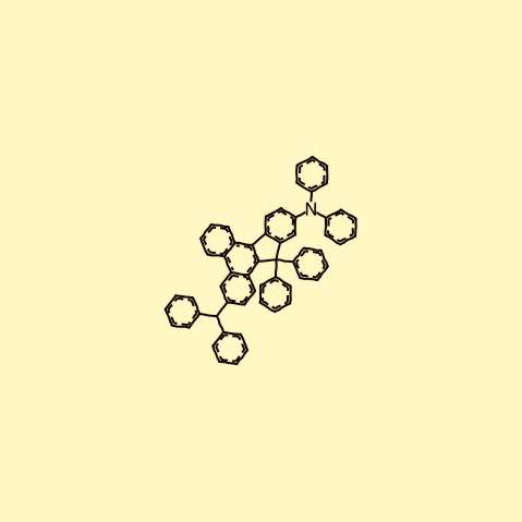 c1ccc(C(c2ccccc2)c2ccc3c4c(c5ccccc5c3c2)-c2ccc(N(c3ccccc3)c3ccccc3)cc2C4(c2ccccc2)c2ccccc2)cc1